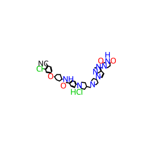 Cl.N#Cc1ccc(O[C@H]2CC[C@H](NC(=O)c3ccc(N4CCC(CN5CCC(n6ccc7c(N8CCC(=O)NC8=O)ncnc76)CC5)CC4)cc3)CC2)cc1Cl